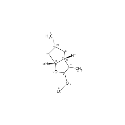 CCOC1O[C@@H]2C[C@H](C)C[C@@H]2C1C